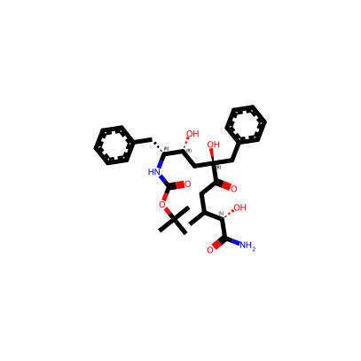 CC(CC(=O)[C@@](O)(Cc1ccccc1)C[C@@H](O)[C@@H](Cc1ccccc1)NC(=O)OC(C)(C)C)[C@H](O)C(N)=O